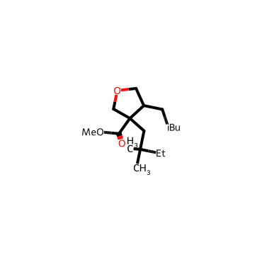 CCC(C)CC1COCC1(CC(C)(C)CC)C(=O)OC